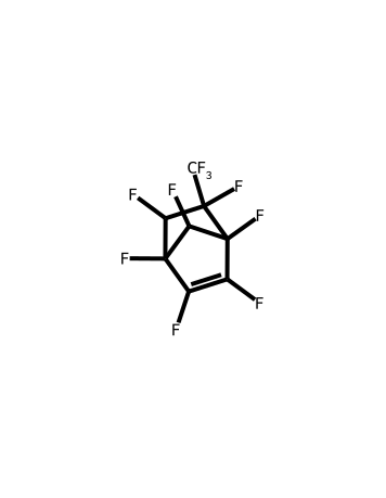 FC1=C(F)C2(F)C(F)C1(F)C(F)C2(F)C(F)(F)F